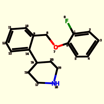 Fc1ccccc1OCc1ccccc1C1CCNCC1